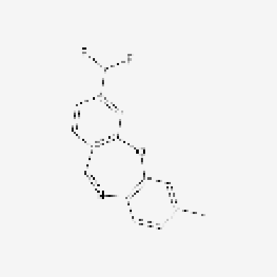 Cc1ccc2c(c1)Oc1cc(C(F)F)ccc1C=N2